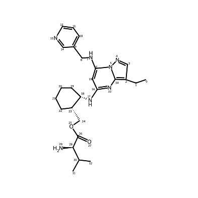 CCc1cnn2c(NCc3cccnc3)cc(N[C@H]3CCCC[C@H]3COC(=O)[C@H](N)C(C)C)nc12